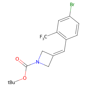 CC(C)(C)OC(=O)N1CC(=Cc2ccc(Br)cc2C(F)(F)F)C1